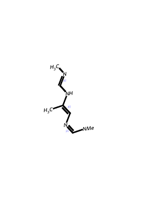 C/N=C/N/C(C)=C/N=C\NC